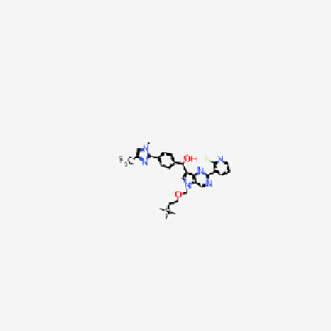 Cn1cc(C(F)(F)F)nc1-c1ccc(C(O)c2cn(COCC[Si](C)(C)C)c3cnc(-c4cccnc4F)nc23)cc1